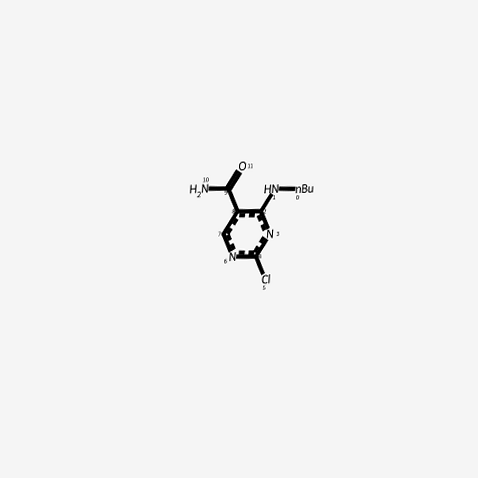 CCCCNc1nc(Cl)ncc1C(N)=O